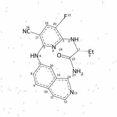 CC[C@@H](Nc1nc(Nc2ccc3ccncc3c2)c(C#N)cc1F)C(N)=O